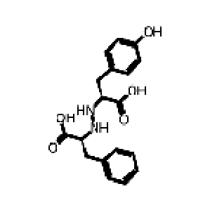 O=C(O)[C@H](Cc1ccccc1)NN[C@@H](Cc1ccc(O)cc1)C(=O)O